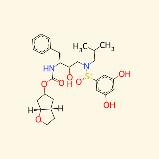 CC(C)CN(C[C@@H](O)[C@H](Cc1ccccc1)NC(=O)OC1C[C@@H]2CCO[C@@H]2C1)[S+]([O-])c1cc(O)cc(O)c1